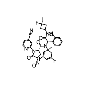 CC1(N(C(=O)[C@@H]2C[C@@H](N=O)C(=O)N2c2cc(C#N)ccn2)[C@@H](C(=O)NC2CC(F)(I)C2)c2ccccc2Cl)C=C(I)C=C(F)C1